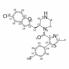 Cc1nc(C(=O)N2CCNC[C@@H]2Cc2cc3cc(Cl)ccc3o2)c(-c2ccc(F)cc2)s1